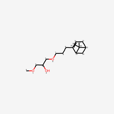 COCC(O)COCCCC1=CCC2CC1C2(C)C